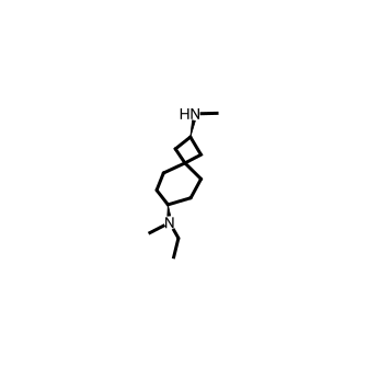 CCN(C)[C@H]1CCC2(CC1)C[C@H](NC)C2